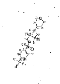 Cc1nc(C(F)(F)F)ncc1S(=O)(=O)N1C[C@H]2CN(C3CCOCC3)C[C@@H]2C1